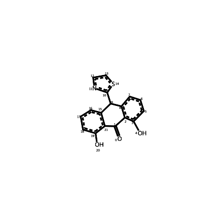 O=C1c2c(O)cccc2C(c2nccs2)c2cccc(O)c21